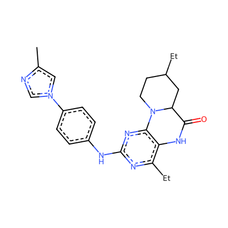 CCc1nc(Nc2ccc(-n3cnc(C)c3)cc2)nc2c1NC(=O)C1CC(CC)CCN21